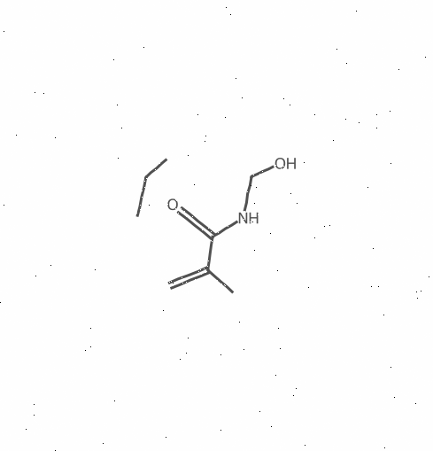 C=C(C)C(=O)NCO.CCC